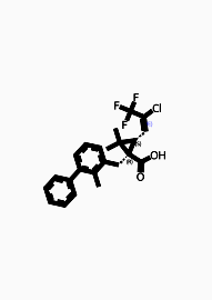 Cc1c(C[C@@]2(C(=O)O)[C@@H](/C=C(/Cl)C(F)(F)F)C2(C)C)cccc1-c1ccccc1